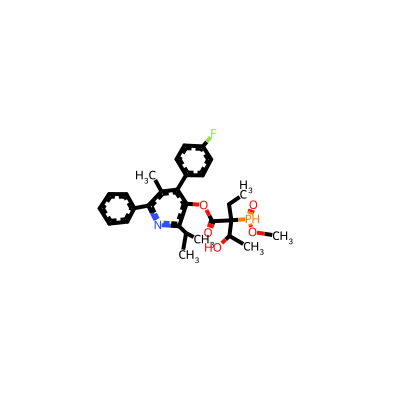 CCC(C(=O)Oc1c(C(C)C)nc(-c2ccccc2)c(C)c1-c1ccc(F)cc1)(C(C)O)[PH](=O)OC